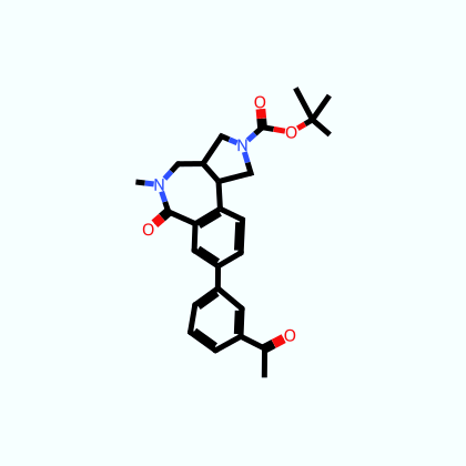 CC(=O)c1cccc(-c2ccc3c(c2)C(=O)N(C)CC2CN(C(=O)OC(C)(C)C)CC32)c1